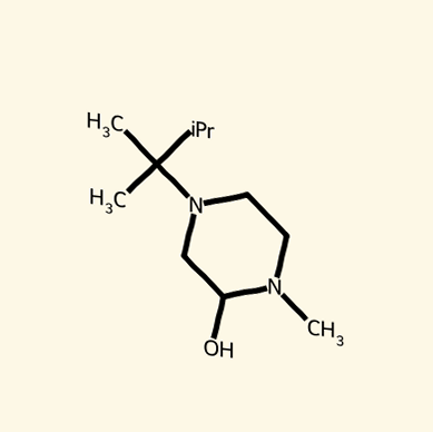 CC(C)C(C)(C)N1CCN(C)C(O)C1